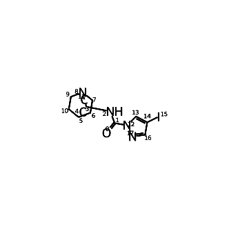 O=C(NC1CC2CCN(CC2)C1)n1cc(I)cn1